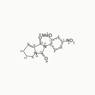 COc1cc([N+](=O)[O-])ccc1N1C(=O)C2=CCCCN2C1=O